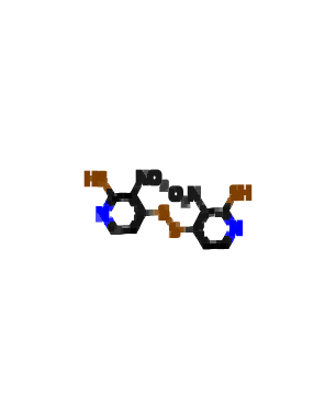 O=[N+]([O-])c1c(SSc2ccnc(S)c2[N+](=O)[O-])ccnc1S